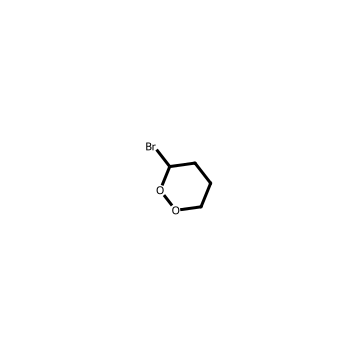 BrC1CCCOO1